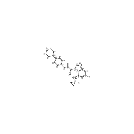 Cc1nc(NC2(C)CC2)c2c(C(=O)NCc3ccc(N4CCOCC4)cc3)coc2n1